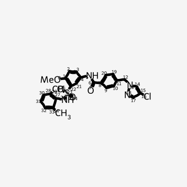 COc1ccc(NC(=O)c2ccc(Cn3cc(Cl)cn3)cc2)cc1S(=O)(=O)Nc1c(C)cccc1C